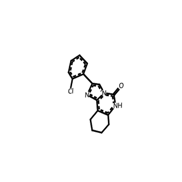 O=c1[nH]c2c(c3nc(-c4ccccc4Cl)cn13)CCCC2